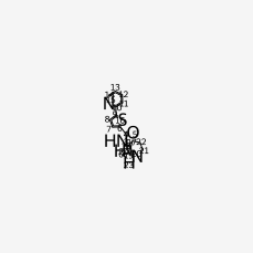 C[C@H]1[C@H](NC(=O)c2ccc(-c3ccccn3)s2)C2CCN1CC2